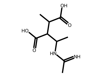 CC(=N)NC(C)C(C(=O)O)C(C)C(=O)O